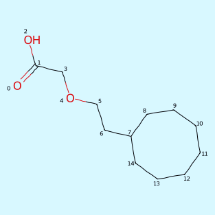 O=C(O)COCCC1CCCCCCC1